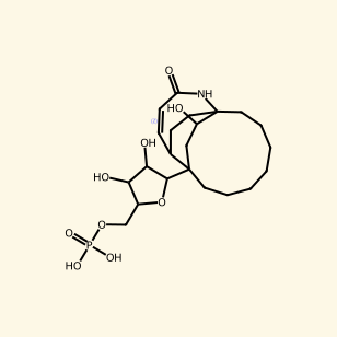 O=C1/C=C\C2CCC3(CCCCCCCC2(C2OC(COP(=O)(O)O)C(O)C2O)CC3O)N1